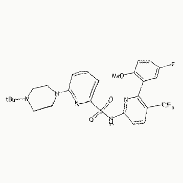 COc1ccc(F)cc1-c1nc(NS(=O)(=O)c2cccc(N3CCN(C(C)(C)C)CC3)n2)ccc1C(F)(F)F